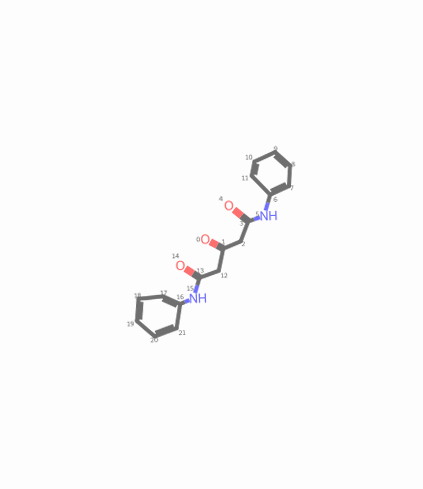 O=C(CC(=O)Nc1ccccc1)CC(=O)Nc1ccccc1